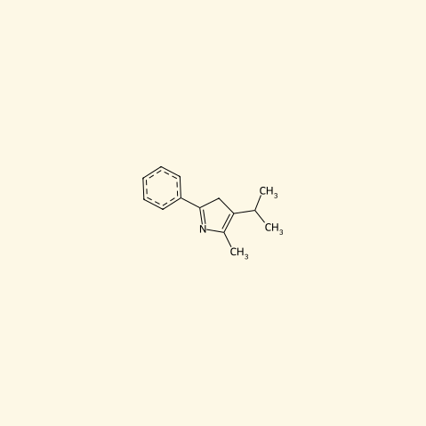 CC1=C(C(C)C)CC(c2ccccc2)=N1